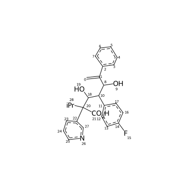 C=C(c1ccccc1)C(O)C(c1ccc(F)cc1)C(O)C(C(=O)O)(c1cccnc1)C(C)C